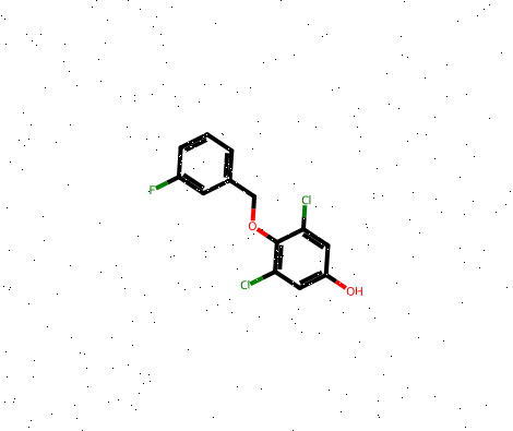 Oc1cc(Cl)c(OCc2cccc(F)c2)c(Cl)c1